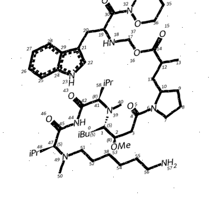 CC[C@H](C)[C@@H]([C@@H](CC(=O)N1CCCC1CC(C)C(=O)OCNC(Cc1c[nH]c2ccccc12)C(=O)N1CCCCO1)OC)N(C)[C@@H](C(=O)NC(=O)[C@H](C(C)C)N(C)CCCCCCN)C(C)C